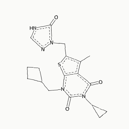 Cc1c(Cn2nc[nH]c2=O)sc2c1c(=O)n(C1CC1)c(=O)n2CC1CCC1